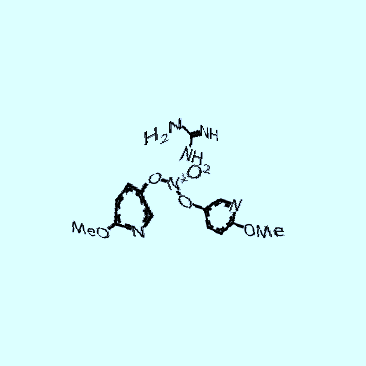 COc1ccc(O[N+](=O)Oc2ccc(OC)nc2)cn1.N=C(N)N